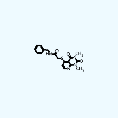 Cn1c(=O)c2c(SCC(=O)NCc3ccccc3)ccnc2n(C)c1=O